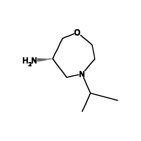 CC(C)N1CCOC[C@@H](N)C1